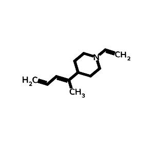 C=C/C=C(\C)C1CCN(C=C)CC1